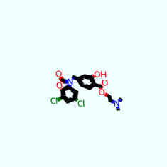 CN(C)CCOC(=O)c1ccc(Cn2c(=O)oc3c(Cl)cc(Cl)cc32)cc1O